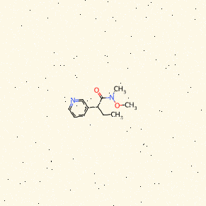 CCC(C(=O)N(C)OC)c1cccnc1